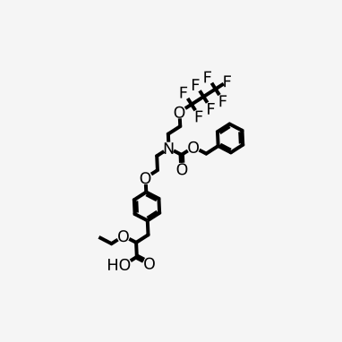 CCOC(Cc1ccc(OCCN(CCOC(F)(F)C(F)(F)C(F)(F)F)C(=O)OCc2ccccc2)cc1)C(=O)O